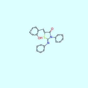 O=C1C(=Cc2ccccc2O)SC(=Nc2ccccc2)N1c1ccccc1